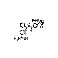 N=C(N)c1cccc(NC(C(=O)Nc2ccc(N3C(=O)C4CCC3CC4)c(C(F)(F)F)c2)c2ccccc2)c1